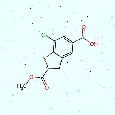 COC(=O)c1cc2cc(C(=O)O)cc(Cl)c2s1